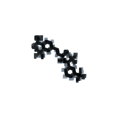 O=C(C=Cc1ccc(C(=O)O)c(C(F)(F)F)c1)NC(c1cccc(C(F)(F)F)c1)C(F)(F)F